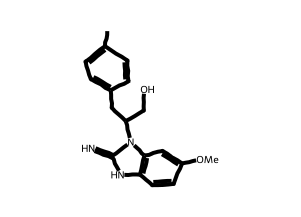 COc1ccc2[nH]c(=N)n(C(CO)Cc3ccc(C)cc3)c2c1